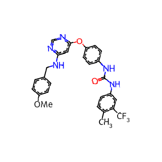 COc1ccc(CNc2cc(Oc3ccc(NC(=O)Nc4ccc(C)c(C(F)(F)F)c4)cc3)ncn2)cc1